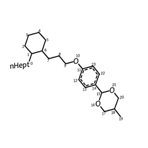 CCCCCCCC1CCCCC1CCCOc1ccc(C2OCC(C)CO2)cc1